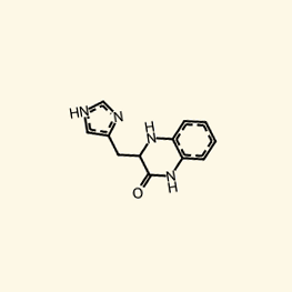 O=C1Nc2ccccc2NC1Cc1c[nH]cn1